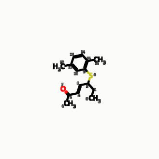 CCC(C=CC(C)=O)Sc1cc(C)ccc1C